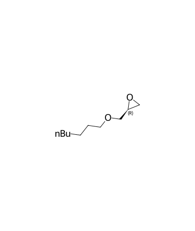 CCCCCCCOC[C@@H]1CO1